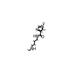 CNCCCCNC(=O)c1cn(C)cn1